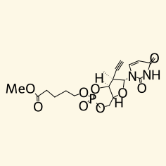 C#C[C@]1(C)[C@@H]2OP(=O)(OCCCCC(=O)OC)OC[C@H]2O[C@H]1n1ccc(=O)[nH]c1=O